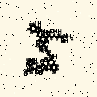 CN[C@@H](CCCNC(=N)N)C(=O)N[C@@H](Cc1c[nH]c2ccccc12)C(=O)N[C@@H](CCCCN[C@@H](Cc1ccccc1)C(=O)C[C@@H]1NC(=O)N([C@@H](Cc2cnc[nH]2)C(=O)NCC=O)C1=O)C(N)=O